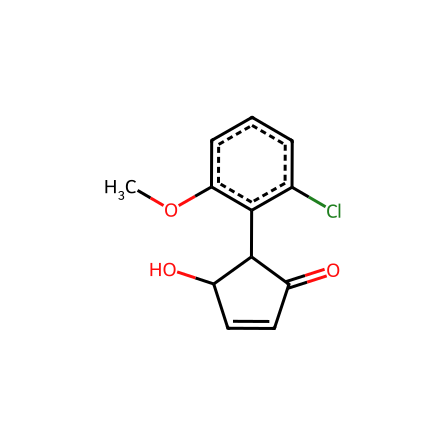 COc1cccc(Cl)c1C1C(=O)C=CC1O